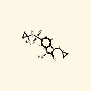 Cn1c(=O)n(CC2CC2)c2ccc(S(=O)(=O)NC3(C)CC3)cc21